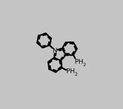 Pc1cccc2c1c1c(P)cccc1n2-c1ccccc1